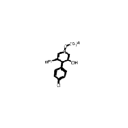 CCCC1CN(OC(=O)O)CC(O)C1c1ccc(Cl)cc1